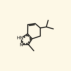 Cc1n[nH]c2c1CC(C(C)C)C=C2